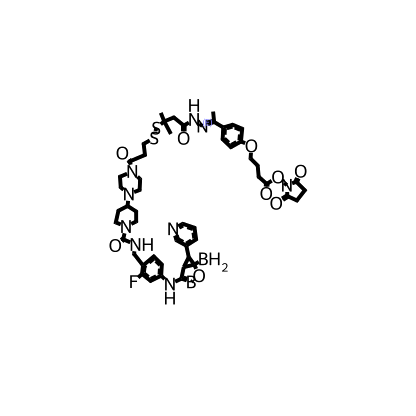 BC12OB=C(Nc3ccc(CNC(=O)N4CCC(N5CCN(C(=O)CCSSC(C)(C)CC(=O)N/N=C(\C)c6ccc(OCCCC(=O)ON7C(=O)CCC7=O)cc6)CC5)CC4)c(F)c3)C1C2c1cccnc1